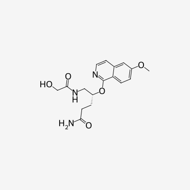 COc1ccc2c(O[C@H](CCC(N)=O)CNC(=O)CO)nccc2c1